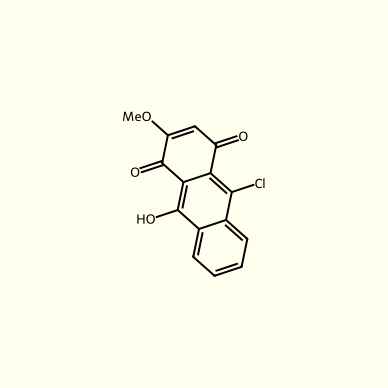 COC1=CC(=O)c2c(c(O)c3ccccc3c2Cl)C1=O